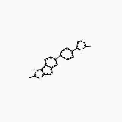 Cc1ncc(-c2ccc(-c3ccc4c(c3)sc3nc(C)[nH]c34)cc2)[nH]1